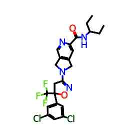 CCC(CC)NC(=O)c1cc2c(cn1)CN(C1=NOC(c3cc(Cl)cc(Cl)c3)(C(F)(F)F)C1)C2